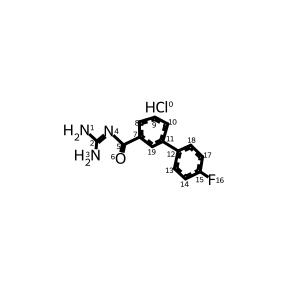 Cl.NC(N)=NC(=O)c1cccc(-c2ccc(F)cc2)c1